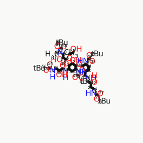 C[C@@H]([C@@H](O)[C@H](OCCO)O[C@@H]1[C@@H](O)[C@H](O[C@H]2OC(CNCC(O)CCNC(=O)OC(C)(C)C)=CC[C@H]2NC(=O)OC(C)(C)C)[C@@H](NC(=O)OC(C)(C)C)C[C@H]1NC(=O)[C@@H](O)CNC(=O)OC(C)(C)C)N(C)C(=O)OC(C)(C)C